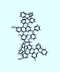 Cc1cc2c3c(c1)-n1c4ccccc4c4cccc(c41)B3c1cc(C(C)(C)Cc3cccc(N(c4ccccc4)c4cc5c6c(c4)N4c7ccccc7C7(c8ccccc8-c8ccccc87)c7cccc(c74)B6c4cc(C(C)(C)C)ccc4N5c4c(C)cc(C(C)(C)C)cc4C)c3)cc3c1N2c1ccc(C(C)(C)C)cc1C31c2ccccc2-c2ccccc21